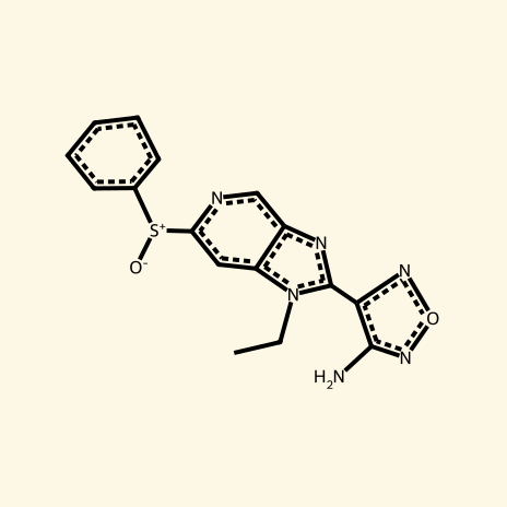 CCn1c(-c2nonc2N)nc2cnc([S+]([O-])c3ccccc3)cc21